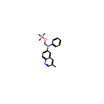 Cc1cnc2ccc(N(CO[Si](C)(C)C)c3ccccc3)cc2c1